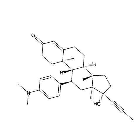 CC#C[C@]1(O)CC[C@@]2(C)[C@@H]3CCC4=CC(=O)CC[C@]4(C)[C@H]3[C@H](c3ccc(N(C)C)cc3)C[C@@]21C